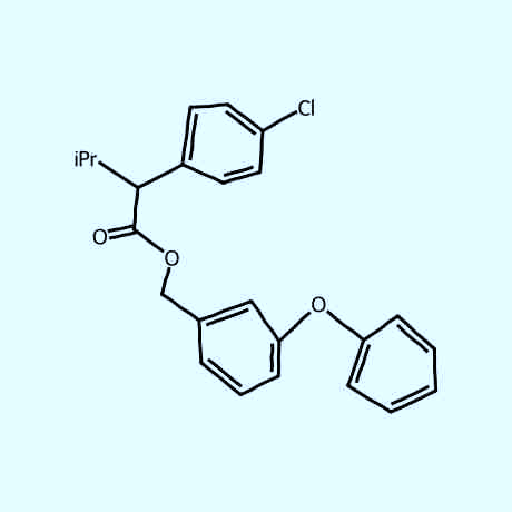 CC(C)C(C(=O)OCc1cccc(Oc2ccccc2)c1)c1ccc(Cl)cc1